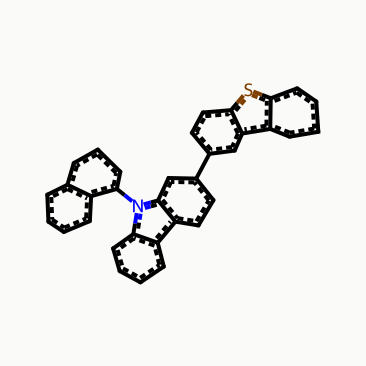 c1ccc2c(-n3c4ccccc4c4ccc(-c5ccc6sc7ccccc7c6c5)cc43)cccc2c1